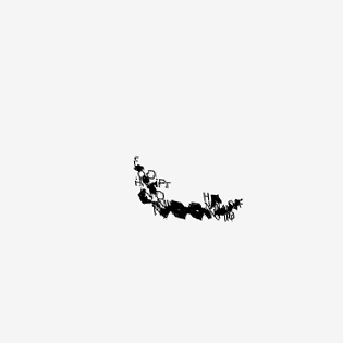 CC(C)[C@H](NC(=O)OCCF)C(=O)N1CCC[C@H]1c1ncc(-c2ccc(-c3ccc(-c4cnc([C@@H]5CCCN5C(=O)[C@@H](NC(=O)OCCF)C(C)C)[nH]4)cc3)cc2)[nH]1